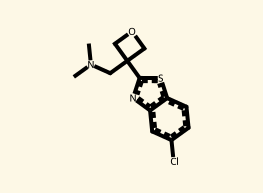 CN(C)CC1(c2nc3cc(Cl)ccc3s2)COC1